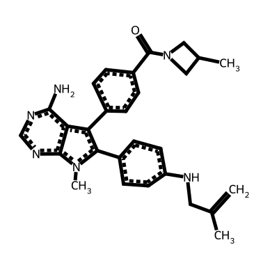 C=C(C)CNc1ccc(-c2c(-c3ccc(C(=O)N4CC(C)C4)cc3)c3c(N)ncnc3n2C)cc1